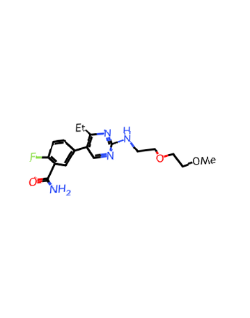 CCc1nc(NCCOCCOC)ncc1-c1ccc(F)c(C(N)=O)c1